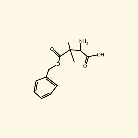 CC(C)(C(=O)OCc1ccccc1)C(N)C(=O)O